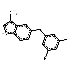 Nc1c[nH]c2ccc(Cc3cc(F)cc(F)c3)cc12